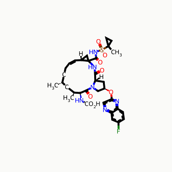 C[C@@H]1CC/C=C\[C@@H]2CC2(C(=O)NS(=O)(=O)C2(C)CC2)NC(=O)[C@@H]2C[C@@H](Oc3cnc4cc(F)ccc4n3)CN2C(=O)[C@@H](NC(=O)O)[C@H](C)C1